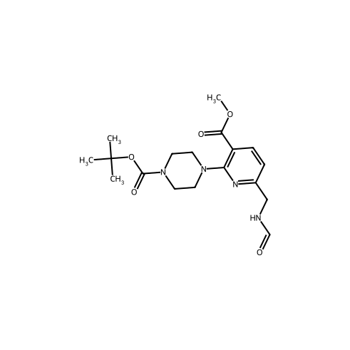 COC(=O)c1ccc(CNC=O)nc1N1CCN(C(=O)OC(C)(C)C)CC1